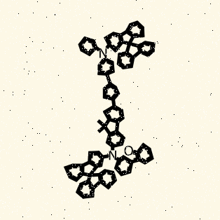 CC1(C)c2cc(-c3ccc(-c4ccc(N(c5ccccc5)c5ccc6c(c5)C5(c7ccccc7-c7ccccc75)c5ccccc5-6)cc4)cc3)ccc2-c2ccc(N(c3ccc4c(c3)C3(c5ccccc5-c5ccccc53)c3ccccc3-4)c3cccc4c3oc3ccccc34)cc21